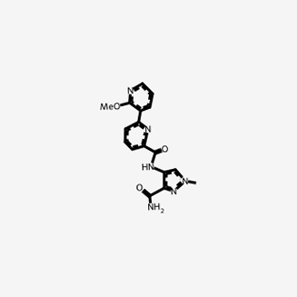 COc1ncccc1-c1cccc(C(=O)Nc2cn(C)nc2C(N)=O)n1